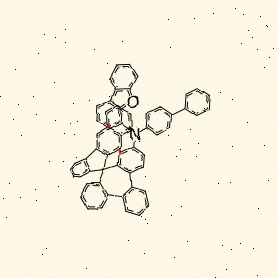 c1ccc(-c2ccc(N(c3ccc4c(c3)C3(c5ccccc5-c5ccccc5-4)c4ccccc4-c4cc5ccccc5cc43)c3cccc4c3oc3ccccc34)cc2)cc1